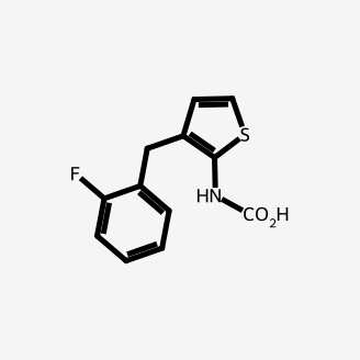 O=C(O)Nc1sccc1Cc1ccccc1F